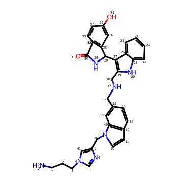 NCCCn1cnc(Cn2ccc3ccc(CNCc4[nH]c5ccccc5c4C4NC(=O)c5ccc(O)cc54)cc32)c1